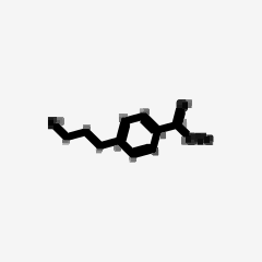 COC(=O)c1ccc(CCCF)cc1